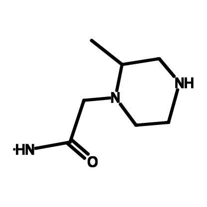 CC1CNCCN1CC([NH])=O